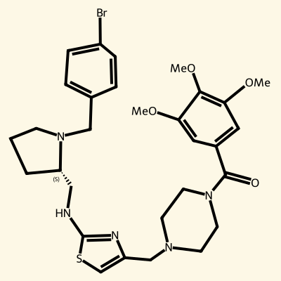 COc1cc(C(=O)N2CCN(Cc3csc(NC[C@@H]4CCCN4Cc4ccc(Br)cc4)n3)CC2)cc(OC)c1OC